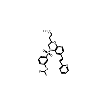 O=C(O)CCC1CN(S(=O)(=O)c2cccc(OC(F)F)c2)c2cc(C=Cc3ccccn3)ccc2O1